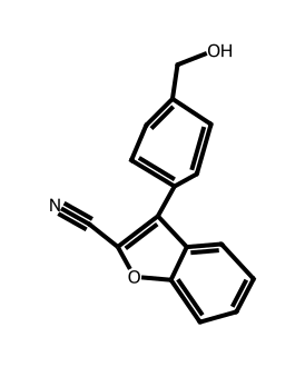 N#Cc1oc2ccccc2c1-c1ccc(CO)cc1